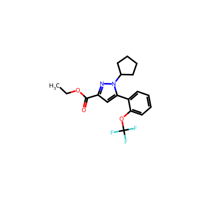 CCOC(=O)c1cc(-c2ccccc2OC(F)(F)F)n(C2CCCC2)n1